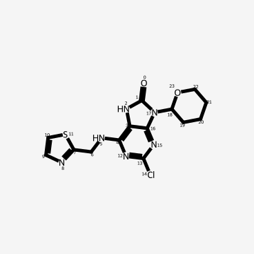 O=c1[nH]c2c(NCc3nccs3)nc(Cl)nc2n1C1CCCCO1